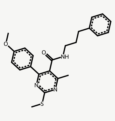 COc1ccc(-c2nc(SC)nc(C)c2C(=O)NCCCc2ccccc2)cc1